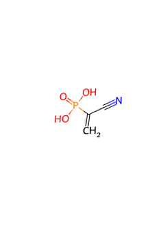 C=C(C#N)P(=O)(O)O